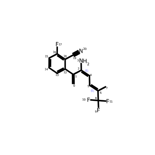 C=C(/C(N)=C\C=C(/C)C(F)(F)F)c1cccc(F)c1C#N